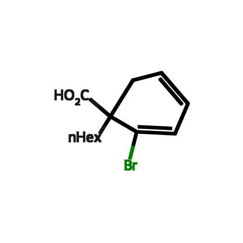 CCCCCCC1(C(=O)O)CC=CC=C1Br